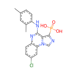 Cc1ccc(Nc2nc3ccc(Cl)cc3n3cnc(P(=O)(O)O)c23)c(C)c1